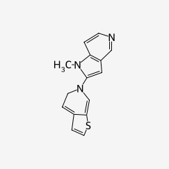 Cn1c(N2C=c3sccc3=CC2)cc2cnccc21